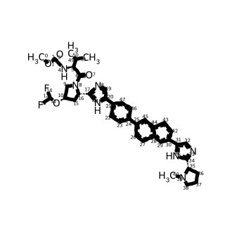 COC(=O)N[C@H](C(=O)N1C[C@@H](OC(F)F)C[C@H]1c1ncc(-c2ccc(-c3ccc4cc(-c5cnc([C@@H]6CCCN6C)[nH]5)ccc4c3)cc2)[nH]1)C(C)C